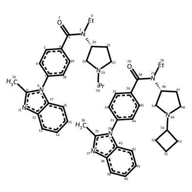 CCN(C(=O)c1ccc(-n2c(C)nc3ccccc32)cc1)[C@@H]1CCN(C(C)C)C1.CCN(C(=O)c1ccc(-n2c(C)nc3ccccc32)cc1)[C@@H]1CCN(C2CCC2)C1